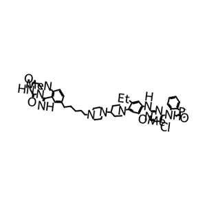 CCc1cc(Nc2ncc(Cl)c(Nc3ccccc3P(C)(C)=O)n2)c(OC)cc1N1CCC(N2CCN(CCCCCc3ccc(NC)c(C(=N)N4CCC(=O)NC4=O)c3)CC2)CC1